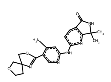 CC1(C)NC(=O)c2ccc(Nc3cc(N)c(C4=NC5(CCOC5)CO4)cn3)nc21